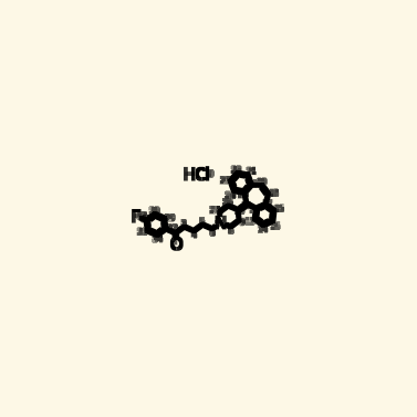 Cl.O=C(CCCCN1CCC(=C2c3ccccc3C=Cc3ccccc32)CC1)c1ccc(F)cc1